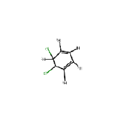 [2H]C1=C([2H])C(Cl)C([2H])(Cl)C([2H])=C1[2H]